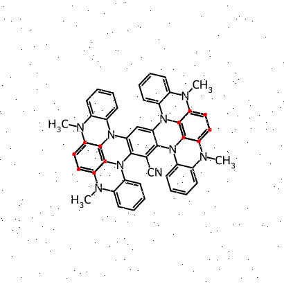 CN1c2ccccc2N(c2cc(N3c4ccccc4N(C)c4ccccc43)c(N3c4ccccc4N(C)c4ccccc43)c(C#N)c2N2c3ccccc3N(C)c3ccccc32)c2ccccc21